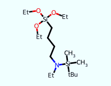 CCO[Si](CCCCN(CC)[Si](C)(C)C(C)(C)C)(OCC)OCC